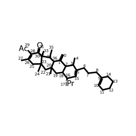 C=C1C2C(C)C(CCCC3=CCCCC3)=CC(C(C)C)C2CC2(C)CC3(C)CC(C)=C(C(C)=O)C(=O)C3(C)C(C)C12